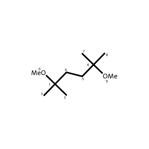 COC(C)(C)CCC(C)(C)OC